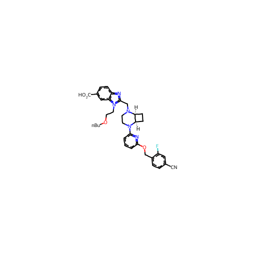 CCCCOCCn1c(CN2CCN(c3cccc(OCc4ccc(C#N)cc4F)n3)[C@@H]3CC[C@@H]32)nc2ccc(C(=O)O)cc21